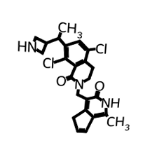 Cc1[nH]c(=O)c(CN2CCc3c(Cl)cc(C(C)C4CNC4)c(Cl)c3C2=O)c2c1C=CC2